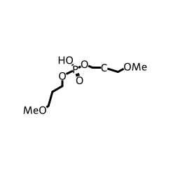 COCCCOP(=O)(O)OCCCOC